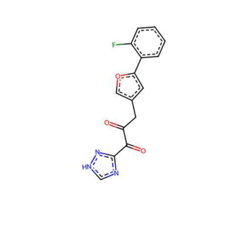 O=C(Cc1coc(-c2ccccc2F)c1)C(=O)c1nc[nH]n1